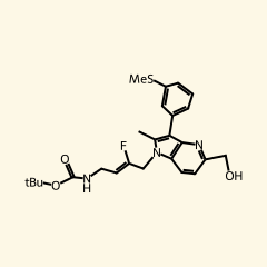 CSc1cccc(-c2c(C)n(C/C(F)=C/CNC(=O)OC(C)(C)C)c3ccc(CO)nc23)c1